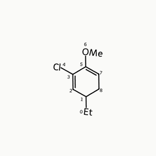 CCC1C=C(Cl)C(OC)=CC1